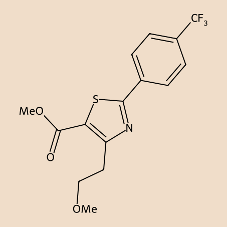 COCCc1nc(-c2ccc(C(F)(F)F)cc2)sc1C(=O)OC